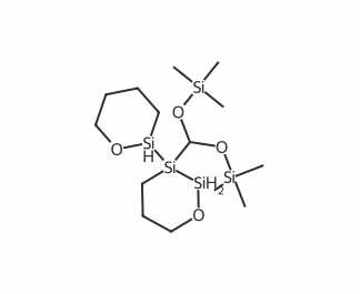 C[Si](C)(C)OC(O[Si](C)(C)C)[Si]1([SiH]2CCCCO2)CCCO[SiH2]1